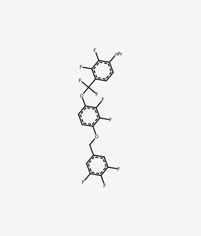 CCCc1ccc(C(F)(F)Oc2ccc(OCc3cc(F)c(F)c(F)c3)c(F)c2F)c(F)c1F